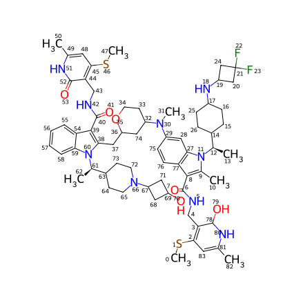 CSC1=C(CNC(=O)c2c(C)n([C@H](C)C3CCC(NC4CC(F)(F)C4)CC3)c3cc(N(C)C4CCOC(Cc5c(C(=O)NCc6c(SC)cc(C)[nH]c6=O)c6ccccc6n5[C@H](C)C5CCN(C6CC(O)C6)CC5)C4)ccc23)C(O)NC(C)=C1